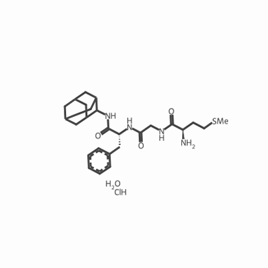 CSCC[C@@H](N)C(=O)NCC(=O)N[C@H](Cc1ccccc1)C(=O)NC1C2CC3CC(C2)CC1C3.Cl.O